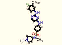 COc1cc(Nc2nccc(Nc3ccc(S(=O)(=O)N(C)C4CCN(C)CC4)cc3)n2)ccc1F